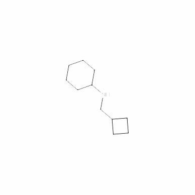 C1CCC(NCC2CCC2)CC1